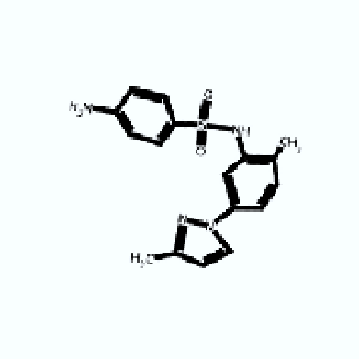 Cc1ccn(-c2ccc(C)c(NS(=O)(=O)c3ccc(N)cc3)c2)n1